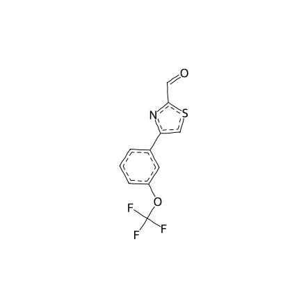 O=Cc1nc(-c2cccc(OC(F)(F)F)c2)cs1